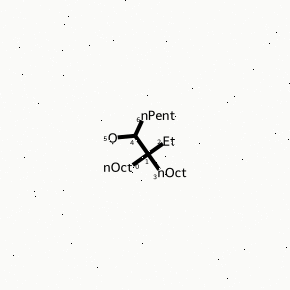 CCCCCCCCC(CC)(CCCCCCCC)C([O])CCCCC